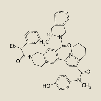 CCC(C(=O)N1CCc2cc(-c3cc(C(=O)N(C)c4ccc(O)cc4)c4n3CCCC4)c(C(=O)N3Cc4ccccc4C[C@H]3C)cc2C1)c1ccccc1